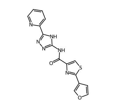 O=C(Nc1nnc(-c2ccccn2)[nH]1)c1csc(-c2ccoc2)n1